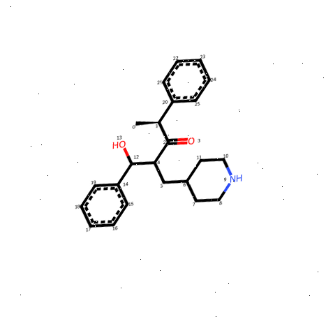 C[C@H](C(=O)C(CC1CCNCC1)C(O)c1ccccc1)c1ccccc1